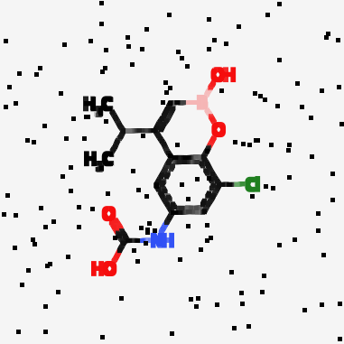 CC(C)C1=CB(O)Oc2c(Cl)cc(NC(=O)O)cc21